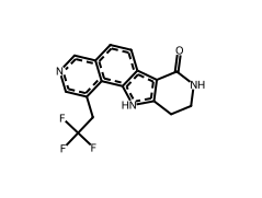 O=C1NCCc2[nH]c3c(ccc4cncc(CC(F)(F)F)c43)c21